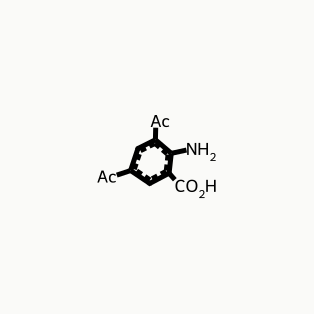 CC(=O)c1cc(C(C)=O)c(N)c(C(=O)O)c1